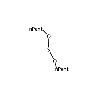 CCCCCOSOCCCCC